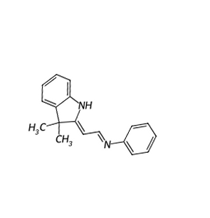 CC1(C)C(=CC=Nc2ccccc2)Nc2ccccc21